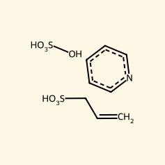 C=CCS(=O)(=O)O.O=S(=O)(O)O.c1ccncc1